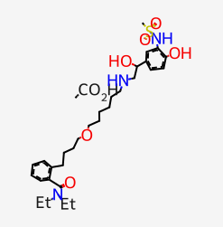 CC(=O)O.CCN(CC)C(=O)c1ccccc1CCCCOCCCCCCNCC(O)c1ccc(O)c(NS(C)(=O)=O)c1